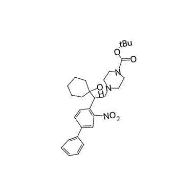 CC(C)(C)OC(=O)N1CCN(CC(c2ccc(-c3ccccc3)cc2[N+](=O)[O-])C2(O)CCCCC2)CC1